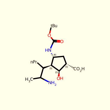 CCCC(C(C)N)[C@@H]1[C@H](O)[C@@H](C(=O)O)C[C@H]1NC(=O)OC(C)(C)C